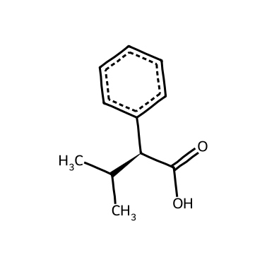 CC(C)[C@H](C(=O)O)c1ccccc1